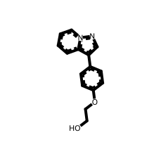 OCCOc1ccc(-c2cnn3ccccc23)cc1